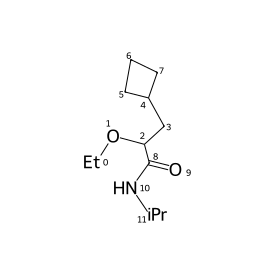 CCOC(CC1CCC1)C(=O)NC(C)C